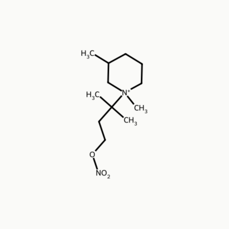 CC1CCC[N+](C)(C(C)(C)CCO[N+](=O)[O-])C1